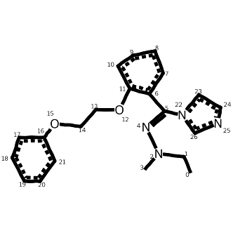 CCN(C)/N=C(/c1ccccc1OCCOc1ccccc1)n1ccnc1